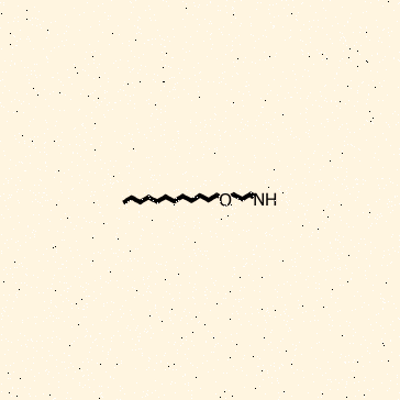 CCCCCCCCCCCCOCCC=N